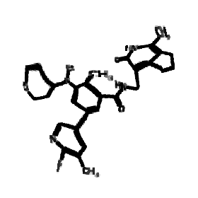 CCN(c1cc(-c2cnc(F)c(C)c2)cc(C(=O)NCc2c3c(c(C)[nH]c2=O)CCC3)c1C)C1CCOCC1